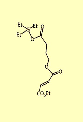 CCOC(=O)C=CC(=O)OCCCC(=O)O[Si](CC)(CC)CC